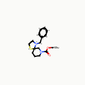 CC(C)(C)OC(=O)N1CCCC2(C1)SCCN2Cc1ccccc1